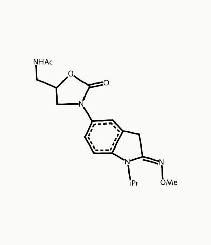 CON=C1Cc2cc(N3CC(CNC(C)=O)OC3=O)ccc2N1C(C)C